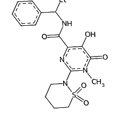 CCC(NC(=O)c1nc(N2CCCCS2(=O)=O)n(C)c(=O)c1O)c1ccccc1